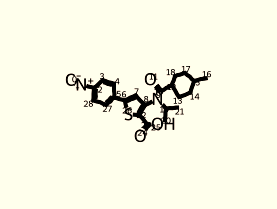 [C-]#[N+]c1ccc(-c2cc(N(C(=O)C3CCC(C)CC3)C(C)C)c(C(=O)O)s2)cc1